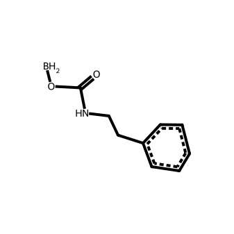 BOC(=O)NCCc1ccccc1